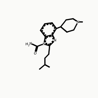 CC(C)CCc1nc2c(C3CCN(C)CC3)cccc2n1C(N)=O